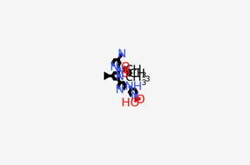 CC(C)(C)OC(=O)N(c1cc(C#N)ccn1)c1cc(C2CC2)cc(-c2cncc(NC3CCN(C(=O)O)CC3)c2)n1